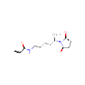 C=CC(=O)NCCCCC(C(=O)O)N1C(=O)CCC1=O